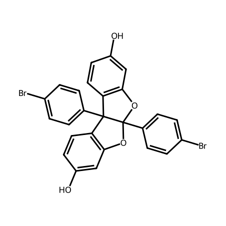 Oc1ccc2c(c1)OC1(c3ccc(Br)cc3)Oc3cc(O)ccc3C21c1ccc(Br)cc1